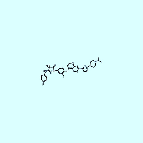 CC(C)N1CCC(n2ccc(-c3cc4nccc(Oc5ccc(NC(=O)C6(C(=O)Nc7ccc(F)cc7)CC6)cc5F)c4cn3)n2)CC1